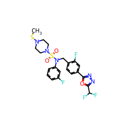 CSN1CCN(S(=O)(=O)N(Cc2ccc(-c3nnc(C(F)F)o3)cc2F)c2cccc(F)c2)CC1